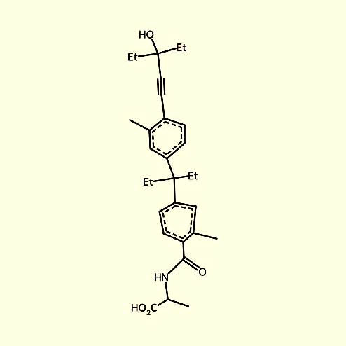 CCC(O)(C#Cc1ccc(C(CC)(CC)c2ccc(C(=O)NC(C)C(=O)O)c(C)c2)cc1C)CC